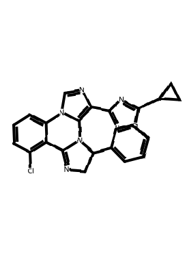 Clc1cccc2c1C1=NCC(c3ccccc3)N1c1c(-c3noc(C4CC4)n3)ncn1-2